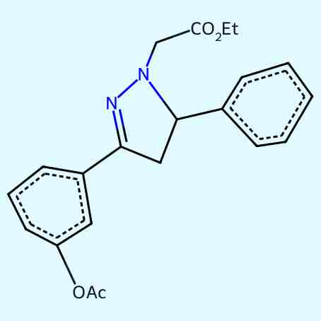 CCOC(=O)CN1N=C(c2cccc(OC(C)=O)c2)CC1c1ccccc1